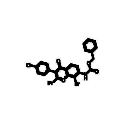 CC(C)c1oc2c(Br)c(NC(=O)OCc3ccccc3)ccc2c(=O)c1-c1ccc(Cl)cc1